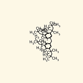 CC(C)(C)CC(C)(C)c1cc(Cc2cc(C(C)(C)CC(C)(C)C)c(O)c(C(C)(C)CC(C)(C)C)c2)cc(C(C)(C)CC(C)(C)C)c1O